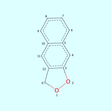 [CH]1OOc2cc3ccccc3cc21